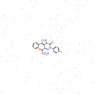 Cc1ccc(-n2nc(C(=O)C(=O)O)c3c(-c4ccccc4)onc3c2=O)cc1